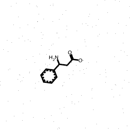 NC(CC([O])=O)c1ccccc1